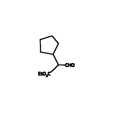 CCOC(=O)C(C=O)C1CCCC1